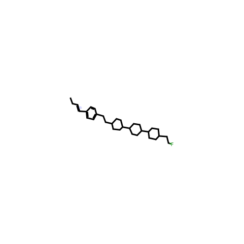 CC/C=C/c1ccc(CCC2CCC(C3CCC(C4CCC(CCF)CC4)CC3)CC2)cc1